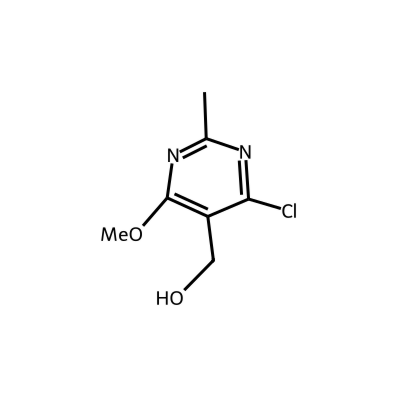 COc1nc(C)nc(Cl)c1CO